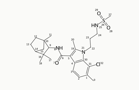 Cc1ccc2c(C(=O)NC3C4(C)CCC(C4)C3(C)C)c(C)n(CCCNS(C)(=O)=O)c2c1Cl